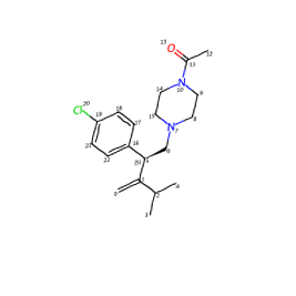 C=C(C(C)C)[C@H](CN1CCN(C(C)=O)CC1)c1ccc(Cl)cc1